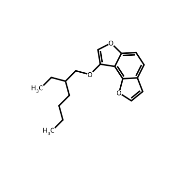 CCCCC(CC)COc1coc2ccc3ccoc3c12